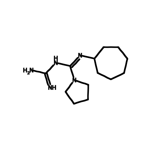 N=C(N)N/C(=N/C1CCCCCC1)N1CCCC1